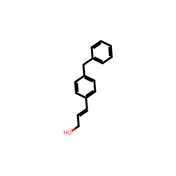 OCC=Cc1ccc(Cc2ccccc2)cc1